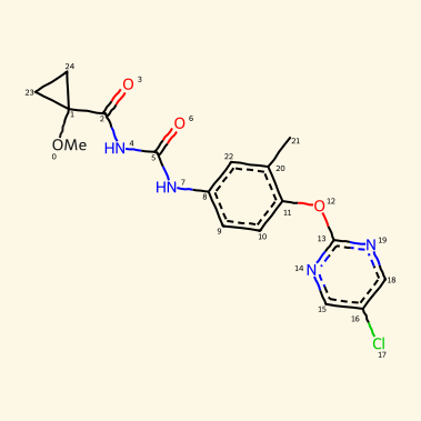 COC1(C(=O)NC(=O)Nc2ccc(Oc3ncc(Cl)cn3)c(C)c2)CC1